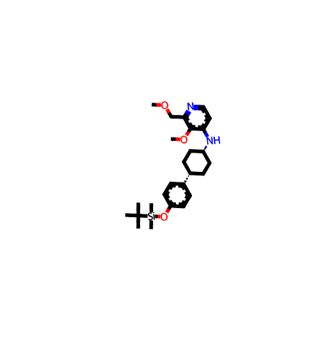 COCc1nccc(N[C@H]2CC[C@@H](c3ccc(O[Si](C)(C)C(C)(C)C)cc3)CC2)c1OC